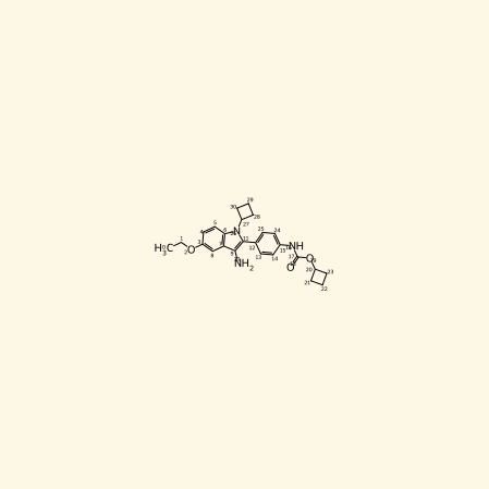 CCOc1ccc2c(c1)c(N)c(-c1ccc(NC(=O)OC3CCC3)cc1)n2C1CCC1